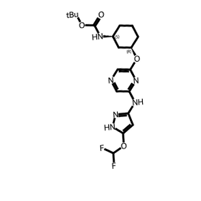 CC(C)(C)OC(=O)N[C@H]1CCC[C@@H](Oc2cncc(Nc3cc(OC(F)F)[nH]n3)n2)C1